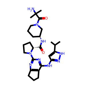 CC(C)c1cc(Nc2nc(N3CCC[C@@H]3C(=O)N[C@@H]3CCCN(C(=O)C(C)(C)N)C3)nc3c2CCC3)n[nH]1